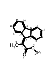 CC(C(=O)OC(C)C)=C1c2ccccc2-c2ccccc21